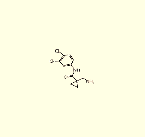 NCC1(C(=O)Nc2ccc(Cl)c(Cl)c2)CC1